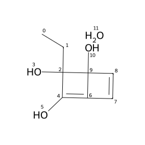 CCC1(O)C(O)=C2C=CC21O.O